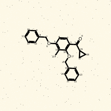 O=C(c1ccc(OCc2ccccc2)c(I)c1OCc1ccccc1)C1CC1